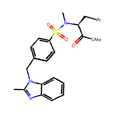 COC(=O)[C@H](CC(C)C)N(C)S(=O)(=O)c1ccc(Cn2c(C)nc3ccccc32)cc1